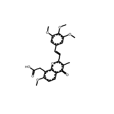 COc1cc(/C=C/c2oc3c(CC(=O)O)c(OC)ccc3c(=O)c2C)cc(OC)c1OC